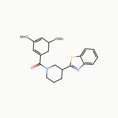 COC1=CC(OC)CC(C(=O)N2CCCC(c3nc4ccccc4s3)C2)=C1